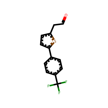 O=CCc1ccc(-c2ccc(C(F)(F)F)cc2)s1